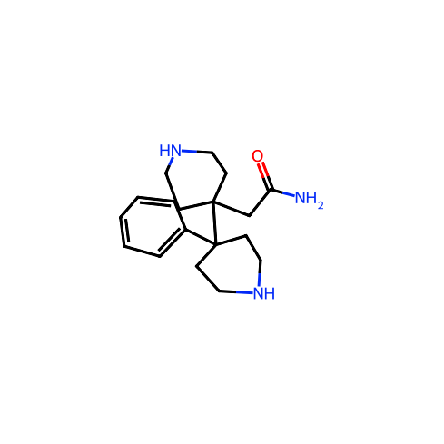 NC(=O)CC1(C2(c3ccccc3)CCNCC2)CCNCC1